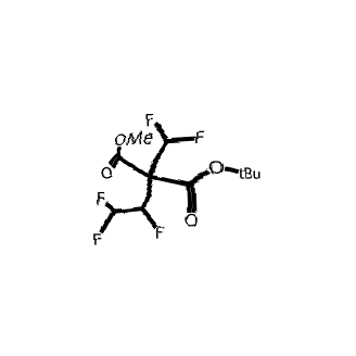 COC(=O)C(C(=O)OC(C)(C)C)(C(F)F)C(F)C(F)F